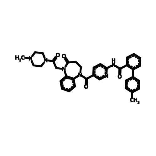 Cc1ccc(-c2ccccc2C(=O)Nc2ccc(C(=O)N3CCC(=O)N(CC(=O)N4CCN(C)CC4)c4ccccc43)cn2)cc1